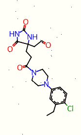 CCc1cc(N2CCN(C(=O)CCC3(CC=O)NC(=O)NC3=O)CC2)ccc1Cl